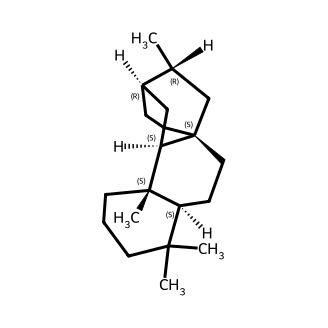 C[C@@H]1C[C@@]23CC[C@@H]1C[C@@H]2[C@@]1(C)CCCC(C)(C)[C@@H]1CC3